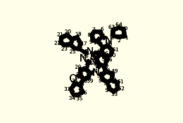 c1ccc(-n2c3ccccc3c3c(-c4nc(-c5ccc6ccccc6c5)nc(-c5cc6oc7ccccc7c6cc5-n5c6ccccc6c6cc7ccccc7cc65)n4)cccc32)cc1